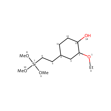 CCOC1CC(CC[Si](OC)(OC)OC)CCC1O